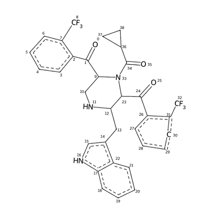 O=C(c1ccccc1C(F)(F)F)C1CNC(Cc2c[nH]c3ccccc23)C(C(=O)c2ccccc2C(F)(F)F)N1C(=O)C1CC1